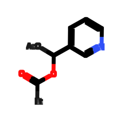 CCC(=O)OC(OC(C)=O)c1cccnc1